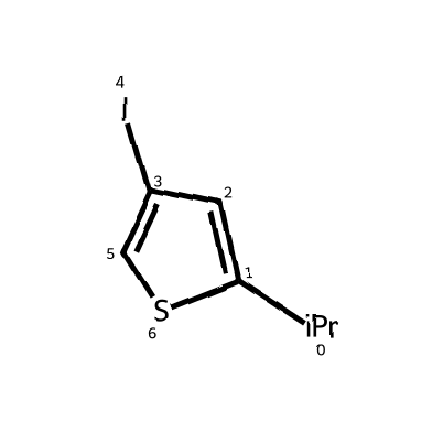 CC(C)c1cc(I)cs1